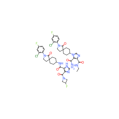 CCNC(=O)c1ncn(C2CCC3(CC2)CCN(c2ccc(F)cc2Cl)C3=O)c1C(N)=O.O=C(NC1CCC2(CC1)CCN(c1ccc(F)cc1Cl)C2=O)c1[nH]cnc1C(=O)N1CC(F)C1